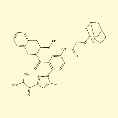 CCCCC(CCCC)C(=O)c1cc(C)n(-c2ccc(NC(=O)COC34CC5CC(CC(C5)C3)C4)cc2C(=O)N2Cc3ccccc3C[C@H]2CO)n1